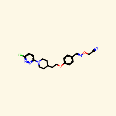 N#CCO/N=C/c1ccc(OCCC2CCN(c3ccc(Cl)nn3)CC2)cc1